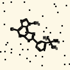 Cn1cnc2c(Cl)nc3sc(-c4cccc(C(C)(C)N)c4)nc3c21